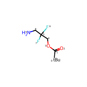 CC(C)(C)C(=O)OCC(F)(F)CN